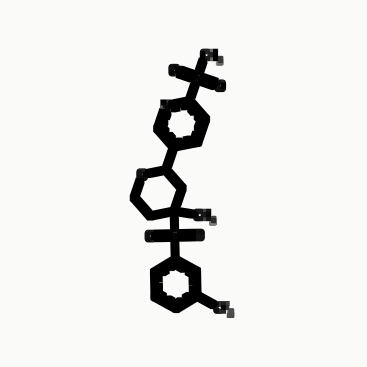 CC1(S(=O)(=O)c2cccc(C(F)(F)F)c2)CCOC(c2ccc(S(C)(=O)=O)nc2)C1